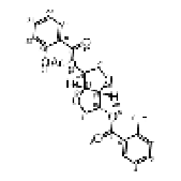 CCc1ccccc1C(=O)O[C@@H]1CO[C@@H]2C(OC(=O)c3ccccc3OC(C)=O)CO[C@@H]21